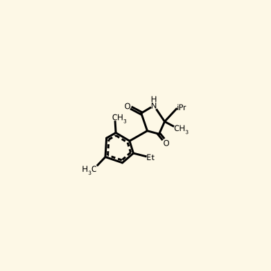 CCc1cc(C)cc(C)c1C1C(=O)NC(C)(C(C)C)C1=O